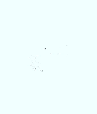 Nc1nc2c(ncn2[C@@H]2O[C@H](COP(=O)(O)OP(=O)(O)OP(=O)(O)O)C[C@]23CCS3)c(=O)[nH]1